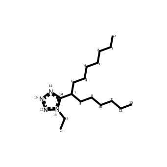 CCCCCCCC(CCCCCC)c1nnnn1CC